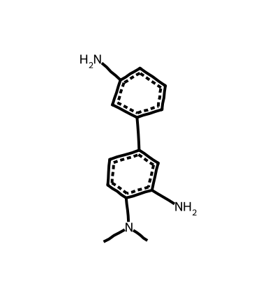 CN(C)c1ccc(-c2cccc(N)c2)cc1N